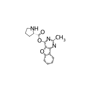 Cc1nc(OC(=O)[C@@H]2CCCN2)c2oc3ccccc3c2n1